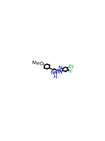 COc1ccc(-c2cc(-c3nc4cc(Cl)c(F)cc4[nH]3)[nH]n2)cc1